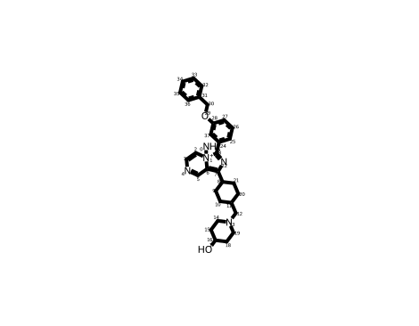 N[N+]12C=CN=CC1=C(C1CCC(CN3CCC(O)CC3)CC1)N=C2c1cccc(OCc2ccccc2)c1